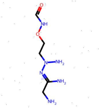 NC/C(N)=N/N(N)CCONC=O